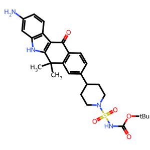 CC(C)(C)OC(=O)NS(=O)(=O)N1CCC(c2ccc3c(c2)C(C)(C)c2[nH]c4cc(N)ccc4c2C3=O)CC1